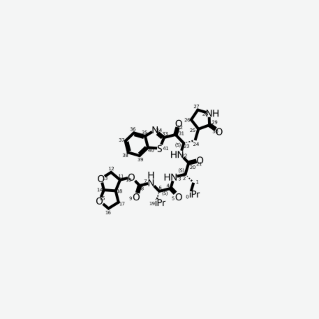 CC(C)C[C@H](NC(=O)[C@@H](NC(=O)OC1COC2OCCC12)C(C)C)C(=O)N[C@@H](CC1CCNC1=O)C(=O)c1nc2ccccc2s1